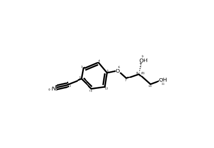 N#Cc1ccc(OC[C@H](O)CO)cc1